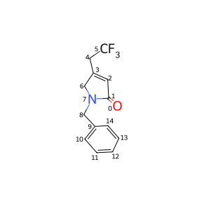 O=C1C=C(CC(F)(F)F)CN1Cc1ccccc1